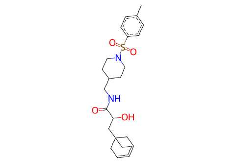 Cc1ccc(S(=O)(=O)N2CCC(CNC(=O)C(O)CC34CC=C=C(C3)C4)CC2)cc1